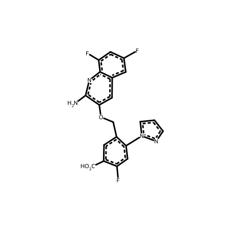 Nc1nc2c(F)cc(F)cc2cc1OCc1cc(C(=O)O)c(F)cc1-n1cccn1